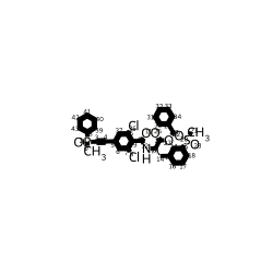 CP(=O)(C#Cc1cc(Cl)c(C(=O)N[C@@H](Cc2cccc(S(C)(=O)=O)c2)C(=O)OCc2ccccc2)c(Cl)c1)c1ccccc1